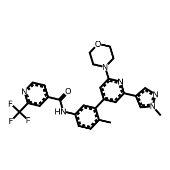 Cc1ccc(NC(=O)c2ccnc(C(F)(F)F)c2)cc1-c1cc(-c2cnn(C)c2)nc(N2CCOCC2)c1